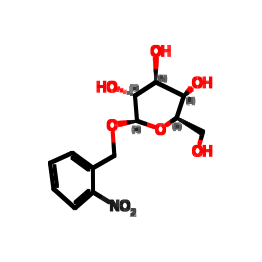 O=[N+]([O-])c1ccccc1CO[C@@H]1O[C@H](CO)[C@H](O)[C@H](O)[C@H]1O